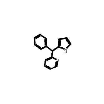 c1ccc(C(c2ccccn2)c2ccc[nH]2)cc1